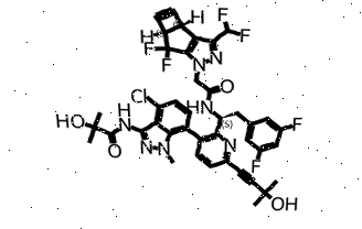 Cn1nc(NC(=O)C(C)(C)O)c2c(Cl)ccc(-c3ccc(C#CC(C)(C)O)nc3[C@H](Cc3cc(F)cc(F)c3)NC(=O)Cn3nc(C(F)F)c4c3C(F)(F)[C@@H]3C#C[C@H]43)c21